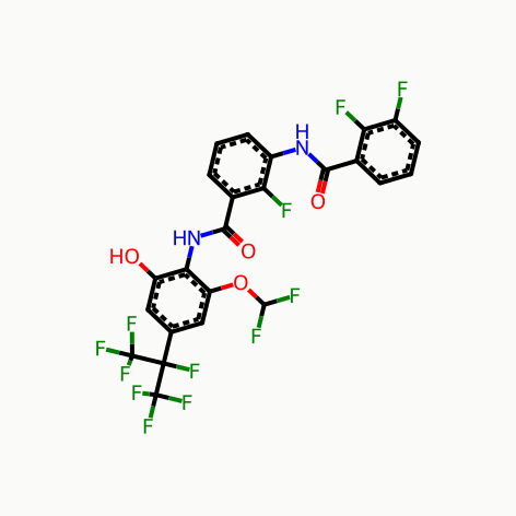 O=C(Nc1cccc(C(=O)Nc2c(O)cc(C(F)(C(F)(F)F)C(F)(F)F)cc2OC(F)F)c1F)c1cccc(F)c1F